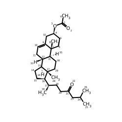 CC(=O)O[C@H]1CC[C@@]2(C)C(=CC[C@H]3[C@@H]4CC[C@H]([C@H](C)CCC(=O)CC(C)C)[C@@]4(C)CC[C@@H]32)C1